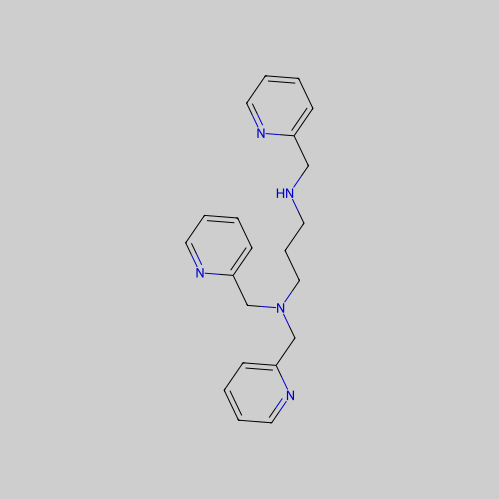 c1ccc(CNCCCN(Cc2ccccn2)Cc2ccccn2)nc1